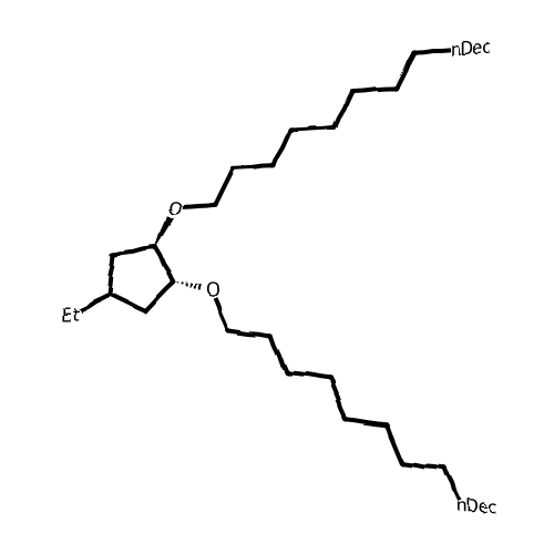 CCCCCCCCCCCCCCCCCCO[C@@H]1CC(CC)C[C@H]1OCCCCCCCCCCCCCCCCCC